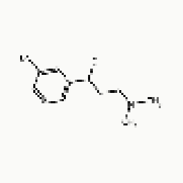 CN(C)CCC(O)c1cccc(Br)c1